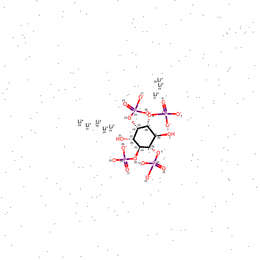 O=P([O-])([O-])O[C@@H]1[C@@H](O)[C@H](OP(=O)([O-])[O-])[C@@H](OP(=O)([O-])[O-])[C@H](O)[C@@H]1OP(=O)([O-])[O-].[Li+].[Li+].[Li+].[Li+].[Li+].[Li+].[Li+].[Li+]